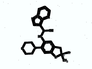 CC(C)[C@]1(C)Cc2cc(NC(O)c3cnn4cccnc34)c(N3CCOCC3)cc2O1